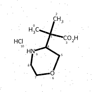 CC(C)(C(=O)O)C1COCCN1.Cl